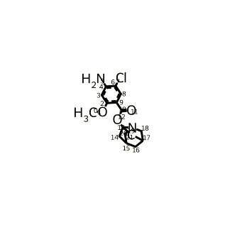 COc1cc(N)c(Cl)cc1C(=O)OC12CC3CC(CN1C3)C2